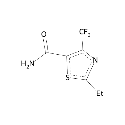 CCc1nc(C(F)(F)F)c(C(N)=O)s1